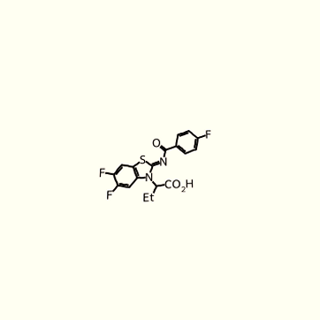 CCC(C(=O)O)n1c(=NC(=O)c2ccc(F)cc2)sc2cc(F)c(F)cc21